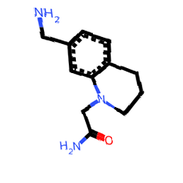 NCc1ccc2c(c1)N(CC(N)=O)CCC2